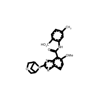 COc1ccc2nc(N3C4COCC3C4)sc2c1C(=O)Nc1cc(C)ccc1C(=O)O